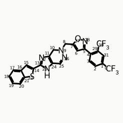 FC(F)(F)c1ccc(-c2cc(CN3Cc4nc(-c5cc6ccccc6s5)[nH]c4C=N3)on2)c(C(F)(F)F)c1